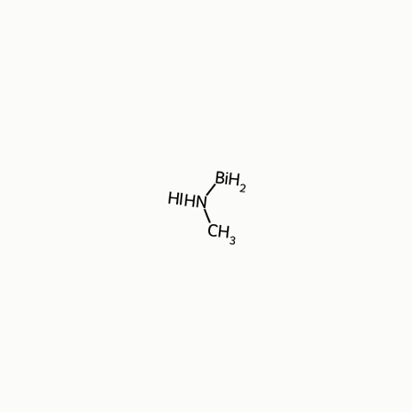 C[NH][BiH2].I